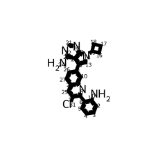 Nc1ccccc1-c1nc2cc(-c3cn(C4CCC4)c4ncnc(N)c34)ccc2cc1Cl